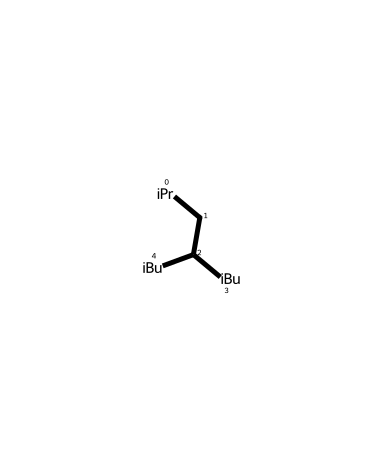 [CH2]C(C)CC(C(C)CC)C(C)CC